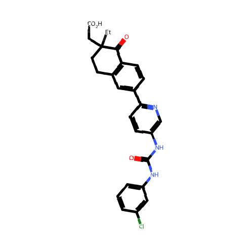 CCC1(CC(=O)O)CCc2cc(-c3ccc(NC(=O)Nc4cccc(Cl)c4)cn3)ccc2C1=O